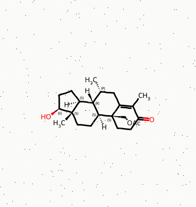 CC(=O)OC[C@]12CCC(=O)C(C)=C1C[C@@H](C)[C@@H]1[C@@H]2CC[C@]2(C)[C@@H](O)CC[C@@H]12